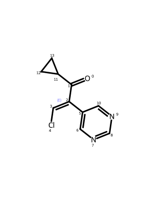 O=C(/C(=C/Cl)c1cncnc1)C1CC1